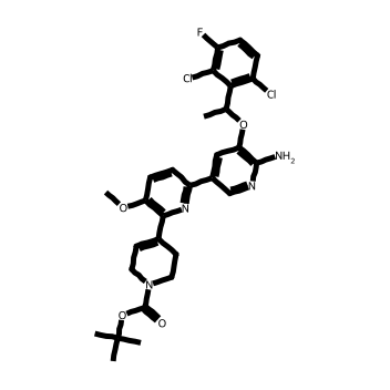 COc1ccc(-c2cnc(N)c(OC(C)c3c(Cl)ccc(F)c3Cl)c2)nc1C1=CCN(C(=O)OC(C)(C)C)CC1